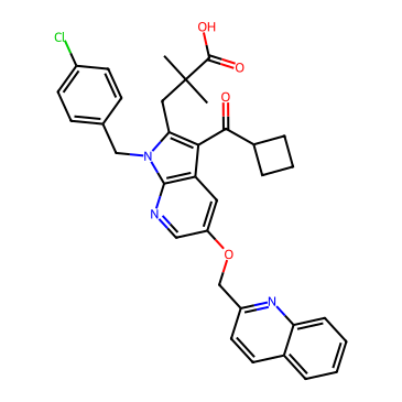 CC(C)(Cc1c(C(=O)C2CCC2)c2cc(OCc3ccc4ccccc4n3)cnc2n1Cc1ccc(Cl)cc1)C(=O)O